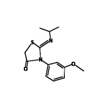 COc1cccc(N2C(=O)CSC2=NC(C)C)c1